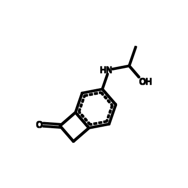 CC(O)Nc1ccc2c(c1)C(=O)C2